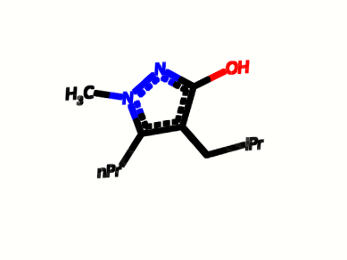 CCCc1c(CC(C)C)c(O)nn1C